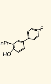 CCCc1cc(-c2ccc(F)cc2)ccc1O